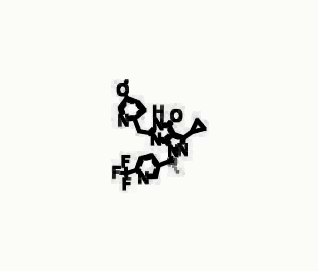 COc1ccc(Cc2nc3c(c(C4CC4)nn3[C@H](C)c3ccc(C(F)(F)F)nc3)c(=O)[nH]2)nc1